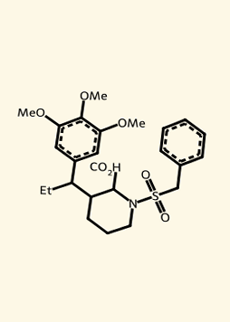 CCC(c1cc(OC)c(OC)c(OC)c1)C1CCCN(S(=O)(=O)Cc2ccccc2)C1C(=O)O